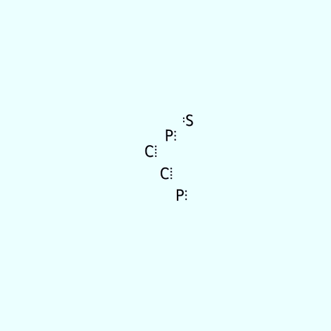 [C].[C].[P].[P].[S]